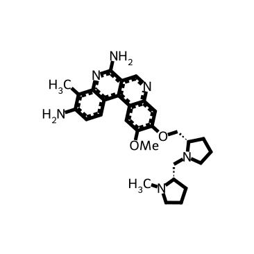 COc1cc2c(cc1OC[C@@H]1CCCN1C[C@@H]1CCCN1C)ncc1c(N)nc3c(C)c(N)ccc3c12